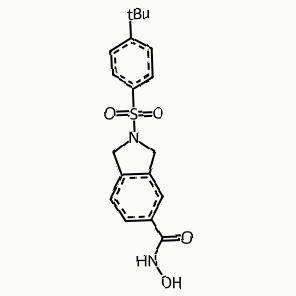 CC(C)(C)c1ccc(S(=O)(=O)N2Cc3ccc(C(=O)NO)cc3C2)cc1